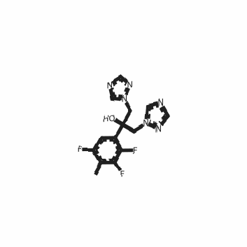 Cc1c(F)cc(C(O)(Cn2cncn2)Cn2cncn2)c(F)c1F